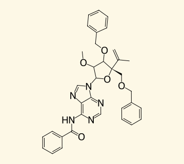 C=C(C)[C@]1(COCc2ccccc2)OC(n2cnc3c(NC(=O)c4ccccc4)ncnc32)C(OC)C1OCc1ccccc1